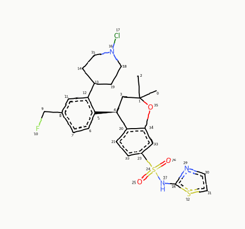 CC1(C)C[C@H](c2ccc(CF)cc2C2CCN(Cl)CC2)c2ccc(S(=O)(=O)Nc3nccs3)cc2O1